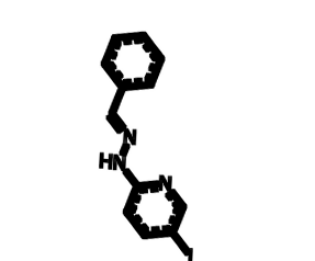 Ic1ccc(N/N=C/c2ccccc2)nc1